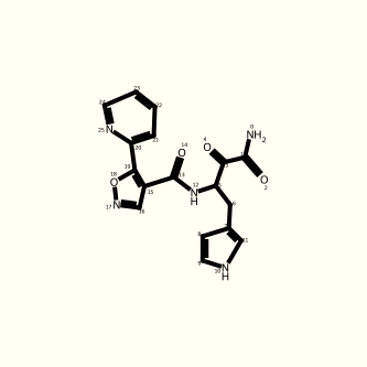 NC(=O)C(=O)C(Cc1cc[nH]c1)NC(=O)c1cnoc1-c1ccccn1